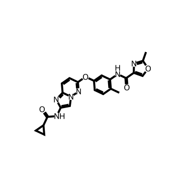 Cc1nc(C(=O)Nc2cc(Oc3ccc4nc(NC(=O)C5CC5)cn4n3)ccc2C)co1